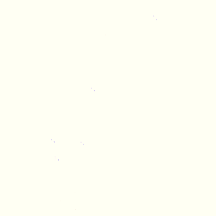 Cc1cc(OC2CCN(c3ccn4c(CC5CC5)nnc4c3Cl)CC2)ccn1